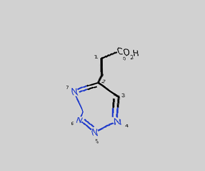 O=C(O)Cc1cnnnn1